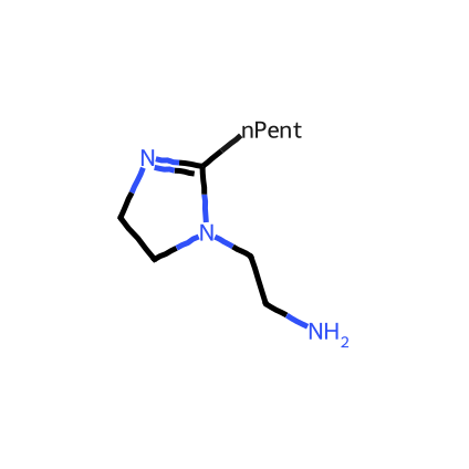 CCCCCC1=NCCN1CCN